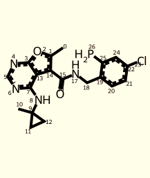 Cc1oc2ncnc(NC3(C)CC3)c2c1C(=O)NCc1ccc(Cl)cc1P